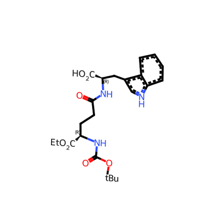 CCOC(=O)[C@@H](CCC(=O)N[C@H](Cc1c[nH]c2ccccc12)C(=O)O)NC(=O)OC(C)(C)C